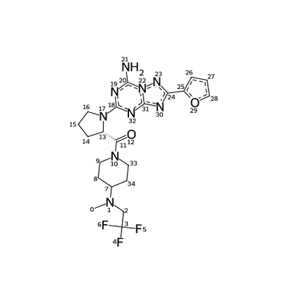 CN(CC(F)(F)F)C1CCN(C(=O)[C@@H]2CCCN2c2nc(N)n3nc(-c4ccco4)nc3n2)CC1